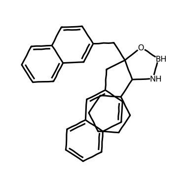 B1NC(C2CCCCC2)C(Cc2ccc3ccccc3c2)(Cc2ccc3ccccc3c2)O1